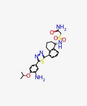 CC(C)Oc1ccc(-c2nnc(-c3cccc4c3CCC[C@@H]4NS(=O)(=O)CC(N)=O)s2)cc1N